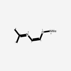 CNO/C=C\N=C(C)C